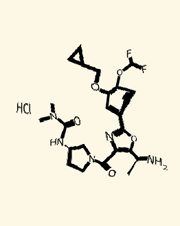 C[C@H](N)c1oc(-c2ccc(OC(F)F)c(OCC3CC3)c2)nc1C(=O)N1CC[C@H](NC(=O)N(C)C)C1.Cl